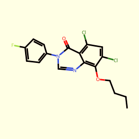 CCCCOc1c(Cl)cc(Cl)c2c(=O)n(-c3ccc(F)cc3)cnc12